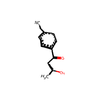 CC(O)=CC(=O)c1ccc(C#N)cc1